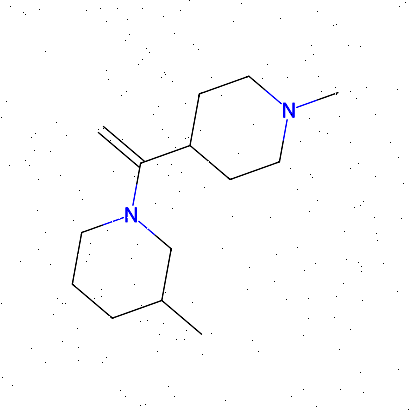 C=C(C1CCN(C)CC1)N1CCCC(C)C1